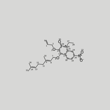 C=CCOc1c(OC/C=C(\C)CCC=C(C)C)c2ccc([N+](=O)[O-])cc2n(CC)c1=O